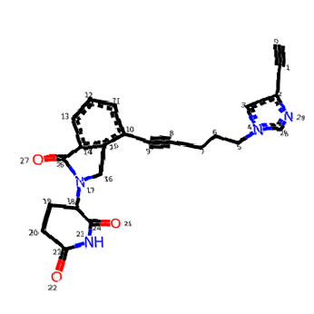 C#Cc1cn(CCCC#Cc2cccc3c2CN(C2CCC(=O)NC2=O)C3=O)cn1